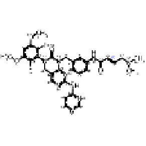 COc1cc(OC)c(F)c(N2Cc3cnc(Nc4ccncn4)nc3N(Cc3cccc(NC(=O)/C=C/CN(C)C)c3)C2=O)c1F